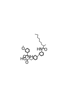 CCCCCCCC(C)C(=O)Nc1cccc(-c2ccc(CC(NC(=O)c3cccc(OC)c3)C(=O)O)cc2)c1